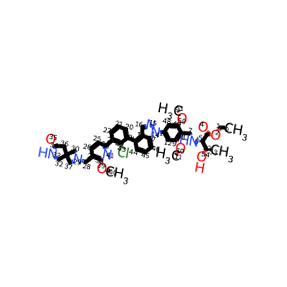 CCOC(=O)[C@@H](NCc1c(OC)cc(-n2ncc3c(-c4cccc(-c5ccc(CN6CC7(CNC(=O)C7)C6)c(OC)n5)c4Cl)cccc32)cc1OC)[C@@H](C)O